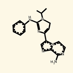 CC(C)N1CC=C(c2cnc3c(N)nccn23)N=C1Nc1ccccc1